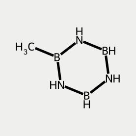 CB1NBNBN1